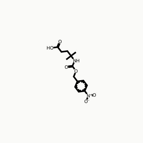 CC(C)(CCC(=O)O)NC(=O)OCc1ccc([N+](=O)[O-])cc1